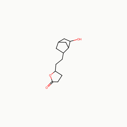 O=C1CCC(CCC2CC3CC(O)C2C3)O1